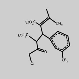 CCOC(=O)C(=C(C)N)C(c1cccc(C(F)(F)F)c1)C(C(=O)CCl)C(=O)OCC